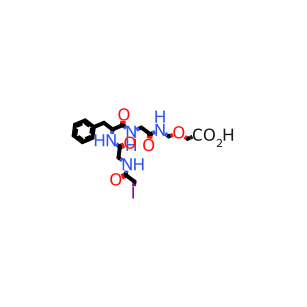 O=C(O)COCNC(=O)CNC(=O)C(Cc1ccccc1)NC(=O)CNC(=O)CI